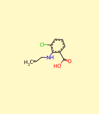 C=CCNc1c(Cl)cccc1C(=O)O